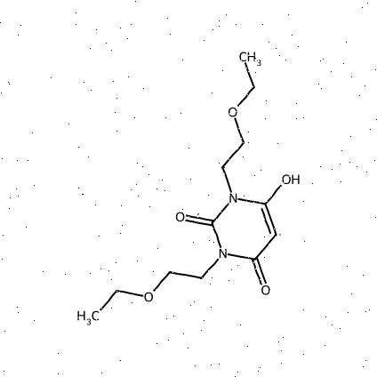 CCOCCn1c(O)[c]c(=O)n(CCOCC)c1=O